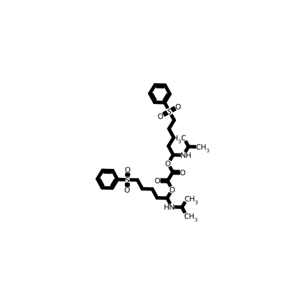 CC(C)NC(CCCCS(=O)(=O)c1ccccc1)OC(=O)C(=O)OC(CCCCS(=O)(=O)c1ccccc1)NC(C)C